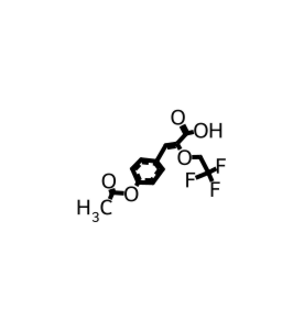 CC(=O)Oc1ccc(/C=C(\OCC(F)(F)F)C(=O)O)cc1